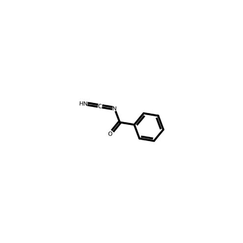 N=C=NC(=O)c1ccccc1